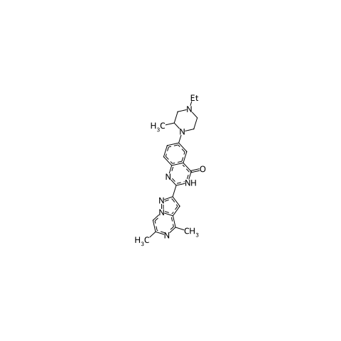 CCN1CCN(c2ccc3nc(-c4cc5c(C)nc(C)cn5n4)[nH]c(=O)c3c2)C(C)C1